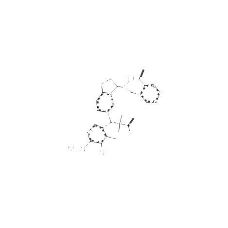 C=Cc1ccccc1CN(CC)C1CCc2ccc(C(c3ccc(NC)c(N)c3C)C(C)(C)C(=C)C)cc21